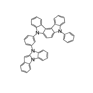 c1ccc(-n2c3ccccc3c3c4c5ccccc5n(-c5cccc(-n6c7ccccc7n7c8ccccc8cc67)c5)c4ccc32)cc1